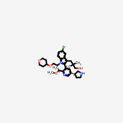 CO[C@@H](C)c1ncc([C@@H]2CCNC2)cc1-c1c(CC(C)(C)CO)c2cc(Br)ccc2n1CCOC1CCOCC1